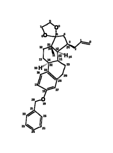 C=CC[C@@H]1CC2(OCCO2)[C@@]2(C)CC[C@@H]3c4ccc(OCc5ccccc5)cc4CCC3[C@H]12